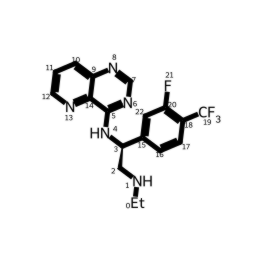 CCNC[C@@H](Nc1ncnc2cccnc12)c1ccc(C(F)(F)F)c(F)c1